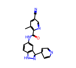 Cc1cc(C#N)cnc1C(=O)Nc1ccc2[nH]nc(-c3ccncc3)c2c1